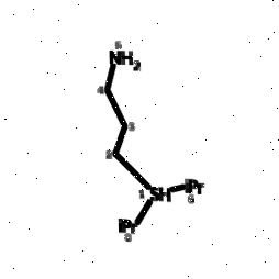 CC(C)[SH](CCCN)C(C)C